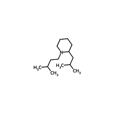 CC(C)CCN1CCCCC1CC(C)C